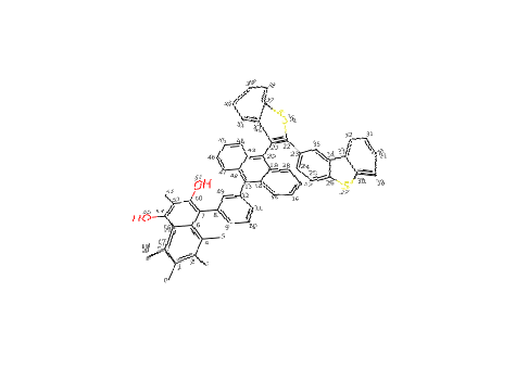 Cc1c(C)c(C)c2c(-c3cccc(-c4c5ccccc5c(-c5c(-c6ccc7sc8ccccc8c7c6)sc6ccccc56)c5ccccc45)c3)c(O)c(C)c(O)c2c1C